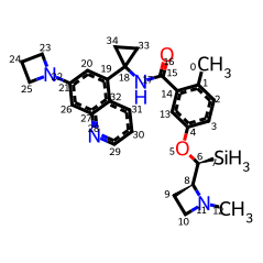 Cc1ccc(O[C@@H]([SiH3])[C@@H]2CCN2C)cc1C(=O)NC1(c2cc(N3CCC3)cc3ncccc23)CC1